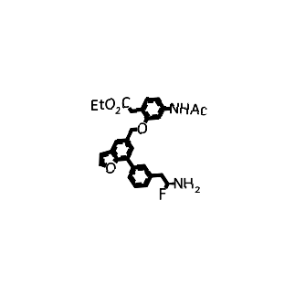 CCOC(=O)Cc1ccc(NC(C)=O)cc1OCc1cc(-c2cccc(C[C@@H](N)F)c2)c2occc2c1